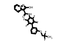 CC(F)(F)COc1cccc(-c2c(F)c(F)c(NC(=O)c3c(O)nn4ccccc34)c(F)c2F)c1